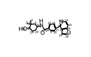 CC1(C)CC(NC(=O)c2ccc(-c3nccc4occc34)cc2)CCC1O